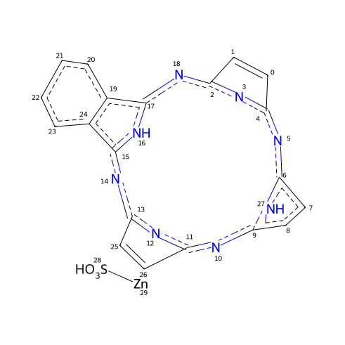 C1=Cc2nc1nc1ccc(nc3nc(nc4[nH]c(n2)c2ccccc42)C=C3)[nH]1.O=[S](=O)(O)[Zn]